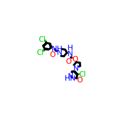 O=C(NC1CCN(C(=O)Nc2cc(Cl)cc(Cl)c2)CC1)O[C@@H]1CCN(c2cn[nH]c(=O)c2Cl)C1